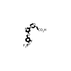 O=C(O)CC[C@H]1CN(c2cncc(OCc3ccc(OC(F)(F)F)c(F)c3)c2)CCO1